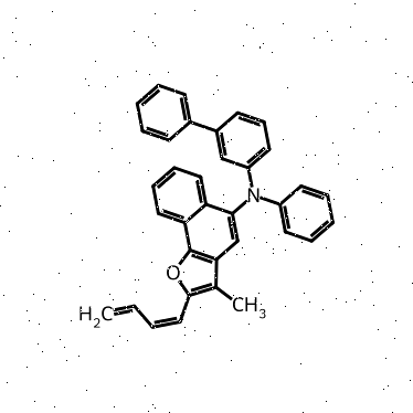 C=C/C=C\c1oc2c(cc(N(c3ccccc3)c3cccc(-c4ccccc4)c3)c3ccccc32)c1C